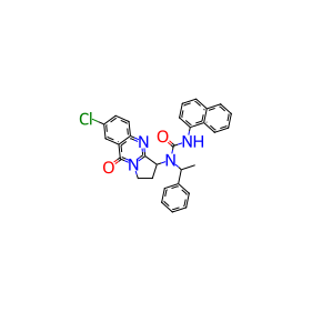 CC(c1ccccc1)N(C(=O)Nc1cccc2ccccc12)C1CCn2c1nc1ccc(Cl)cc1c2=O